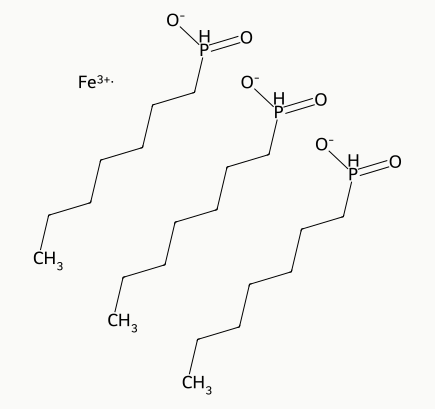 CCCCCCC[PH](=O)[O-].CCCCCCC[PH](=O)[O-].CCCCCCC[PH](=O)[O-].[Fe+3]